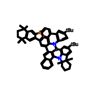 CC(C)(C)c1ccc(N2B3c4cc(C(C)(C)C)cc5c4N(c4c3c(cc3ccccc43)-c3cc4c(cc32)sc2cc3c(cc24)C(C)(C)CCC3(C)C)C2(C)CCCCC52C)c(-c2ccccc2)c1